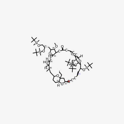 CO[C@H]1C(C[C@@H](CO[Si](C)(C)C(C)(C)C)O[Si](C)(C)C(C)(C)C)O[C@H]2C[C@@H](O)C(C)(C)[C@H](C)CC3CC[C@@H]4O[C@@H](CCC/C=C/C(O[Si](C)(C)C(C)(C)C)C5O[C@H]6CCC(CC(=O)CC12)OC6C(O[Si](C)(C)C(C)(C)C)C5O[Si](C)(C)C(C)(C)C)CC4(CI)O3